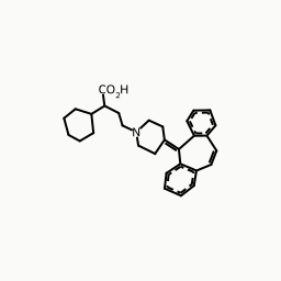 O=C(O)C(CCN1CCC(=C2c3ccccc3C=Cc3ccccc32)CC1)C1CCCCC1